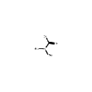 C[CH]C(=O)N(C(C)CC)C(C)CC